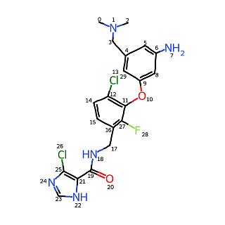 CN(C)Cc1cc(N)cc(Oc2c(Cl)ccc(CNC(=O)c3[nH]cnc3Cl)c2F)c1